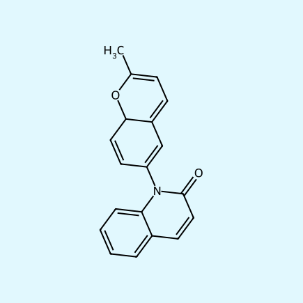 CC1=CC=C2C=C(n3c(=O)ccc4ccccc43)C=CC2O1